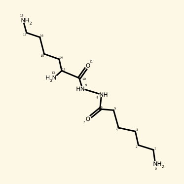 NCCCCCC(=O)NNC(=O)C(N)CCCCN